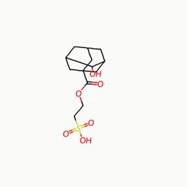 O=C(OCCS(=O)(=O)O)C12CC3CC(C1)C(O)C(C3)C2